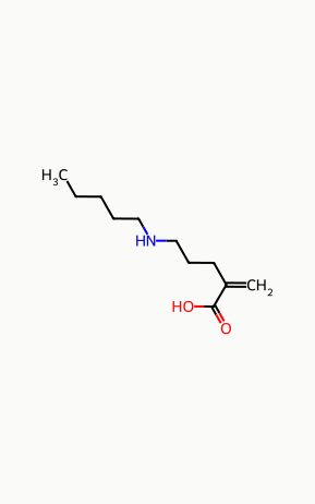 C=C(CCCNCCCCC)C(=O)O